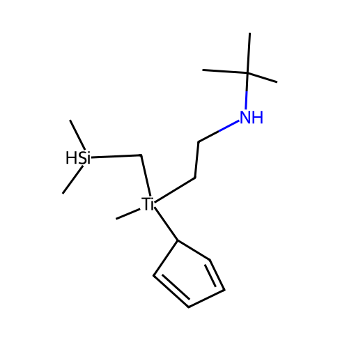 C[SiH](C)[CH2][Ti]([CH3])([CH2]CNC(C)(C)C)[CH]1C=CC=C1